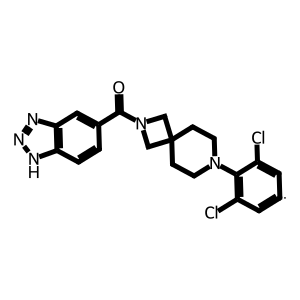 O=C(c1ccc2[nH]nnc2c1)N1CC2(CCN(c3c(Cl)c[c]cc3Cl)CC2)C1